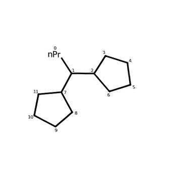 CCCC(C1CCCC1)C1CCCC1